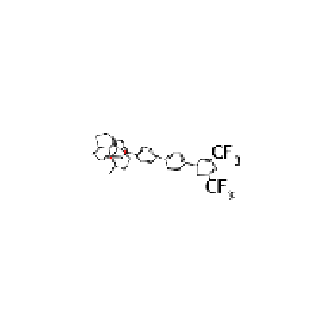 CC1CC=CC2=C/CC/C(c3ccc(-c4ccc(-c5ccc(-c6cc(C(F)(F)F)cc(C(F)(F)F)c6)cc5)cc4)cc3)=C/C=C\21